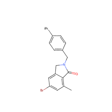 Cc1cc(Br)cc2c1C(=O)N(Cc1ccc(C(C)C)cc1)C2